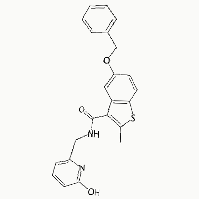 Cc1sc2ccc(OCc3ccccc3)cc2c1C(=O)NCc1cccc(O)n1